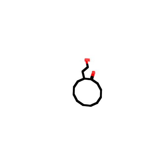 O=C1CCCCCCCCCCC1CCO